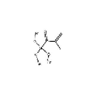 C=C(C)C(=O)[Si](OC(C)C)(OC(C)C)OC(C)C